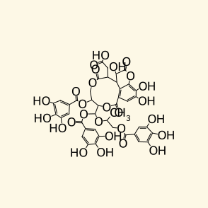 CC(COC(=O)c1cc(O)c(O)c(O)c1)OC(OC(=O)c1cc(O)c(O)c(O)c1)C1OC(=O)c2cc(O)c(O)c3c2C(C(O)C(=O)O3)C(CC(=O)O)C(=O)OCC1OC(=O)c1cc(O)c(O)c(O)c1